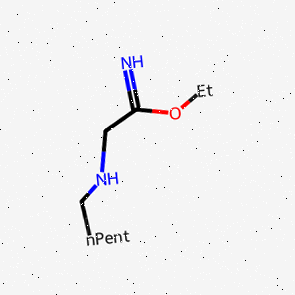 CCCCCCNCC(=N)OCC